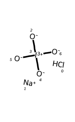 Cl.[Na+].[O-][I+3]([O-])([O-])[O-]